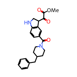 COC(=O)C(=O)C1CNc2ccc(C(=O)N3CCC(Cc4ccccc4)CC3)cc21